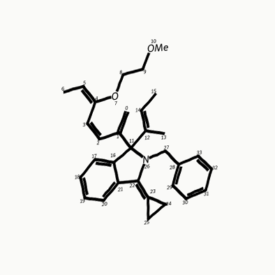 C=C(/C=C\C(=C/C)OCCOC)C1(/C(C)=C/C)c2ccccc2C(=C2CC2)N1Cc1ccccc1